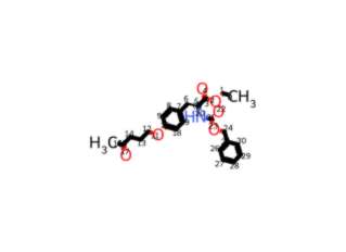 CCOC(=O)[C@H](Cc1ccc(OCCCC(C)=O)cc1)NC(=O)OCc1ccccc1